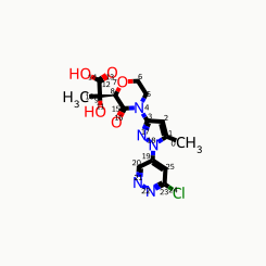 Cc1cc(N2CCO[C@H](C(C)(O)C(=O)O)C2=O)nn1-c1cnnc(Cl)c1